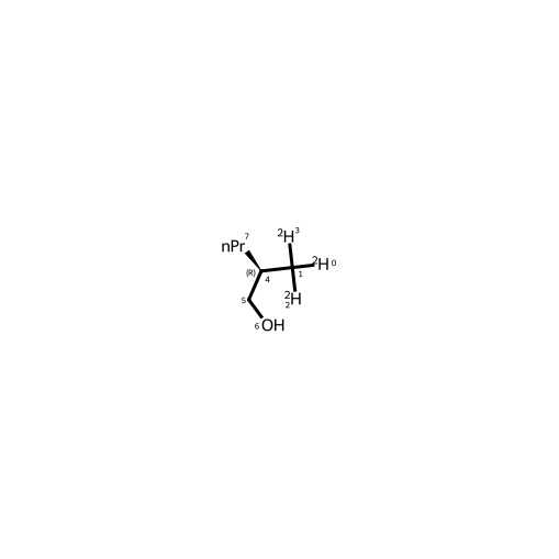 [2H]C([2H])([2H])[C@@H](CO)CCC